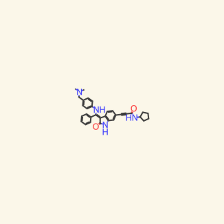 CN(C)Cc1ccc(NC(=C2C(=O)Nc3cc(C#CC(=O)NC4CCCC4)ccc32)c2ccccc2)cc1